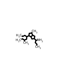 CCCC(N)C1CC2C(C)CC(C(CCC)CC(C)CC)C2C1